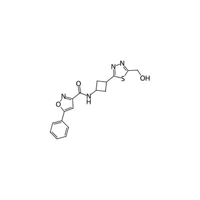 O=C(NC1CC(c2nnc(CO)s2)C1)c1cc(-c2ccccc2)on1